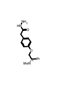 CN[C@H](COc1ccc(CC(=O)NN)cc1)C(C)C